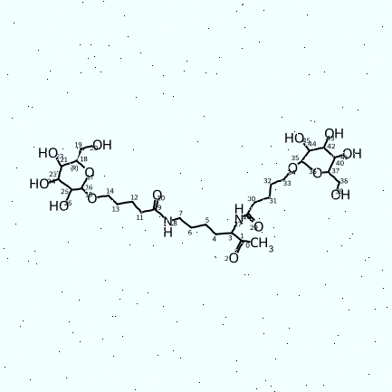 CC(=O)C(CCCCNC(=O)CCCCOC1O[C@H](CO)C(O)C(O)C1O)NC(=O)CCCCOC1OC(CO)C(O)C(O)C1O